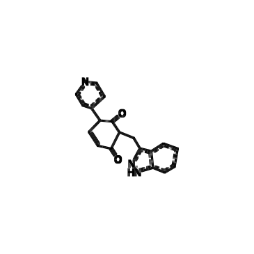 O=C1C=CC(c2ccncc2)C(=O)C1Cc1n[nH]c2ccccc12